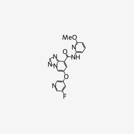 COc1cccc(NC(=O)c2cc(Oc3cncc(F)c3)cn3ncnc23)n1